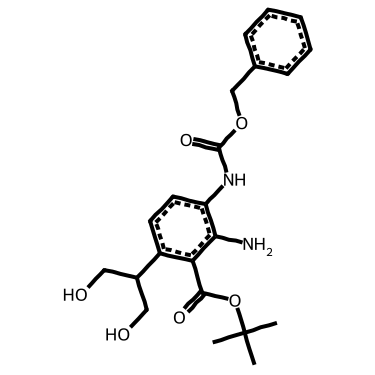 CC(C)(C)OC(=O)c1c(C(CO)CO)ccc(NC(=O)OCc2ccccc2)c1N